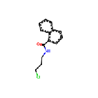 O=C(NCCCCl)c1[c]ccc2ccccc12